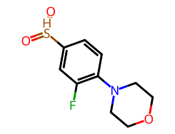 O=[SH](=O)c1ccc(N2CCOCC2)c(F)c1